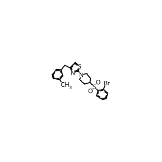 Cc1cccc(Cc2csc(N3CCC(S(=O)(=O)c4ccccc4Br)CC3)n2)c1